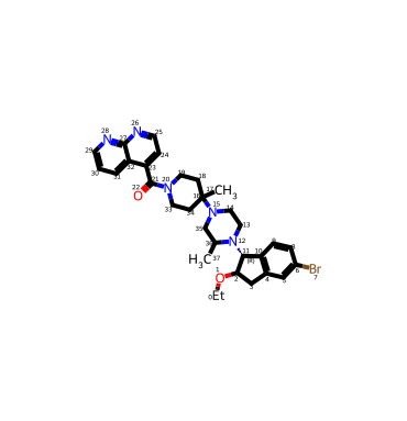 CCOC1Cc2cc(Br)ccc2[C@H]1N1CCN(C2(C)CCN(C(=O)c3ccnc4ncccc34)CC2)CC1C